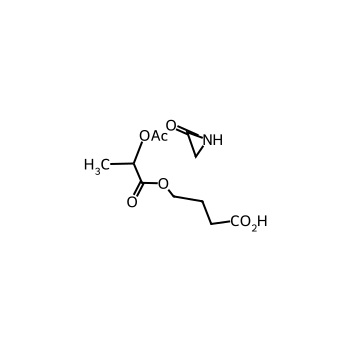 CC(=O)OC(C)C(=O)OCCCC(=O)O.O=C1CN1